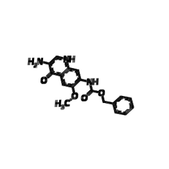 COc1cc2c(=O)c(N)c[nH]c2cc1NC(=O)OCc1ccccc1